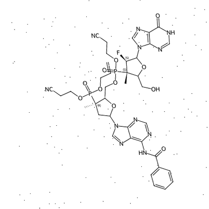 C=CCOP(=O)(OCCC#N)[C@]1(C)CC(n2cnc3c(NC(=O)c4ccccc4)ncnc32)OC1COP(=O)(OCCC#N)[C@@]1(C)C(CO)OC(n2cnc3c(=O)[nH]cnc32)[C@@H]1F